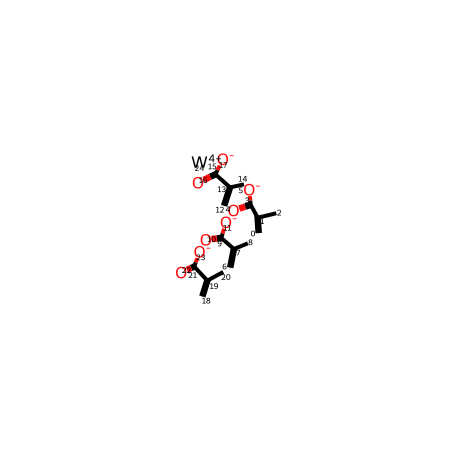 C=C(C)C(=O)[O-].C=C(C)C(=O)[O-].C=C(C)C(=O)[O-].C=C(C)C(=O)[O-].[W+4]